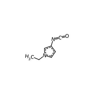 CCn1ccc(N=C=O)c1